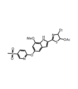 CCC1N=C(c2cc3cc(Oc4ccc(S(C)(=O)=O)cn4)cc(OC)c3[nH]2)SC1OC(C)=O